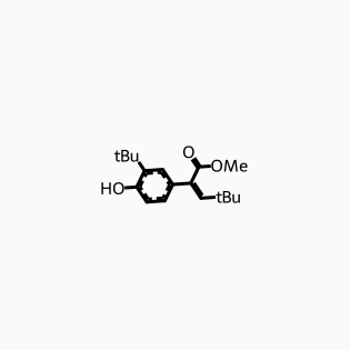 COC(=O)C(=CC(C)(C)C)c1ccc(O)c(C(C)(C)C)c1